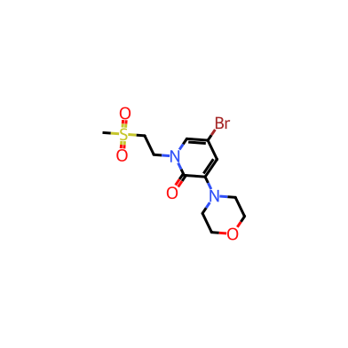 CS(=O)(=O)CCn1cc(Br)cc(N2CCOCC2)c1=O